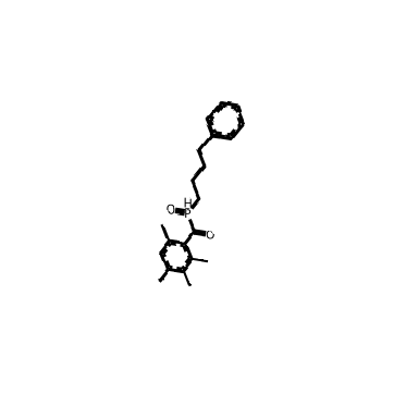 Cc1cc(C)c(C(=O)[PH](=O)CCCCc2ccccc2)c(C)c1C